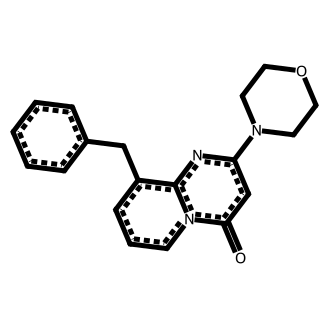 O=c1cc(N2CCOCC2)nc2c(Cc3ccccc3)cccn12